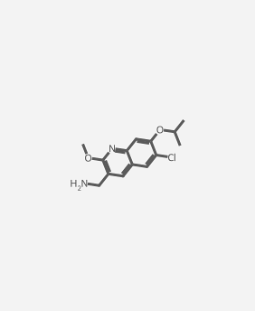 COc1nc2cc(OC(C)C)c(Cl)cc2cc1CN